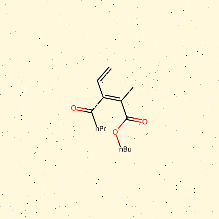 C=CC(C(=O)CCC)=C(C)C(=O)OCCCC